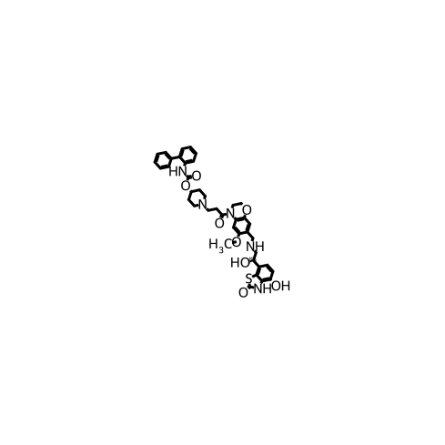 COc1cc2c(cc1CNC[C@H](O)c1ccc(O)c3[nH]c(=O)sc13)OCCN2C(=O)CCN1CCC(OC(=O)Nc2ccccc2-c2ccccc2)CC1